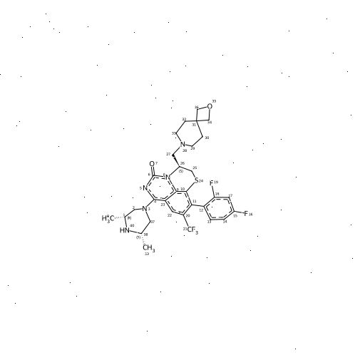 C[C@@H]1CN(c2nc(=O)n3c4c(c(-c5ccc(F)cc5F)c(C(F)(F)F)cc24)SC[C@@H]3CN2CCC3(CC2)COC3)C[C@H](C)N1